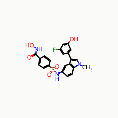 Cn1cc(-c2cc(O)cc(F)c2)c2cc(NS(=O)(=O)c3ccc(C(=O)NO)cc3)ccc21